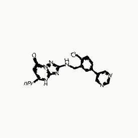 CCCc1cc(=O)n2nc(NCc3cc(-c4cncnc4)ccc3Cl)nc2[nH]1